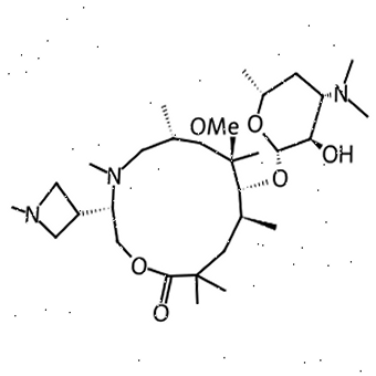 CO[C@]1(C)C[C@@H](C)CN(C)[C@@H](C2CN(C)C2)COC(=O)C(C)(C)C[C@H](C)[C@H]1O[C@@H]1O[C@H](C)C[C@H](N(C)C)[C@H]1O